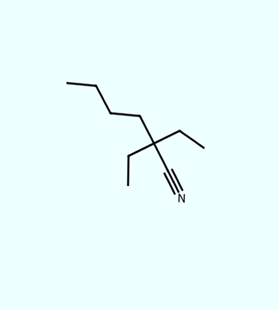 CCCCC(C#N)(CC)CC